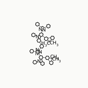 CC1(C)c2ccccc2-c2cc(-c3cc(-c4nc(-c5ccccc5)cc(-c5ccccc5)n4)cc4c3c3cc(-c5cccc(-c6nc(-c7ccccc7)nc(-c7cc(-c8ccc9c(c8)-c8ccccc8C9(C)C)c8c9ccccc9n(-c9ccccc9)c8c7)n6)c5)ccc3n4-c3ccccc3)ccc21